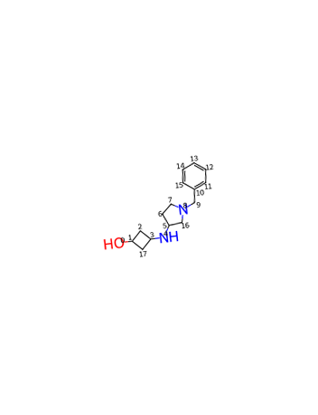 OC1CC(NC2CCN(Cc3ccccc3)C2)C1